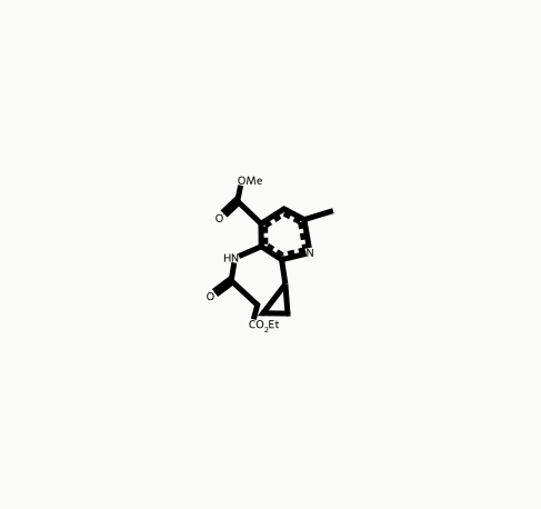 CCOC(=O)CC(=O)Nc1c(C(=O)OC)cc(C)nc1C1CC1